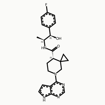 C[C@H](NC(=O)[C@H]1CCN(c2ncnc3[nH]ccc23)CC12CC2)[C@H](O)c1ccc(F)cc1